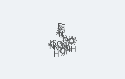 O=C(Nc1nccs1)c1cccc2[nH]c(-c3ccccc3OCCN3CCC(F)(F)C3)nc12